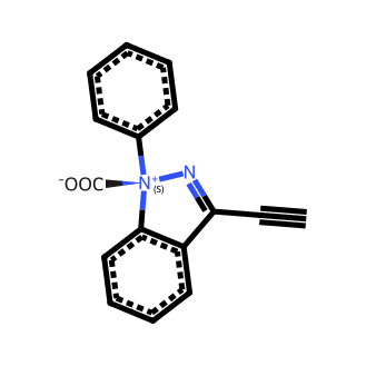 C#CC1=N[N@@+](C(=O)[O-])(c2ccccc2)c2ccccc21